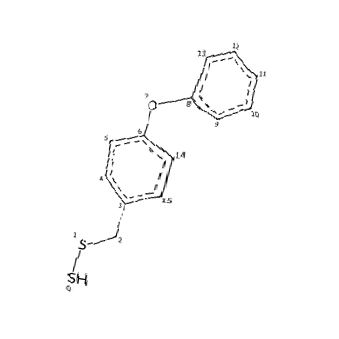 SSCc1ccc(Oc2ccccc2)cc1